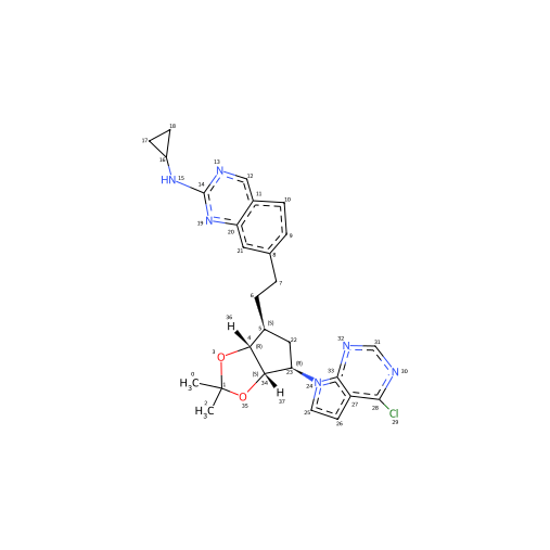 CC1(C)O[C@@H]2[C@@H](CCc3ccc4cnc(NC5CC5)nc4c3)C[C@@H](n3ccc4c(Cl)ncnc43)[C@@H]2O1